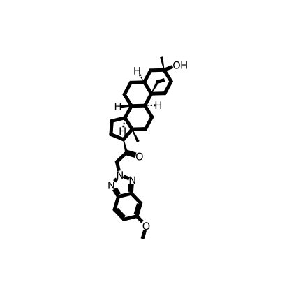 CC[C@]12CC[C@@](C)(O)C[C@@H]1CC[C@H]1[C@@H]3CC[C@H](C(=O)Cn4nc5ccc(OC)cc5n4)[C@@]3(C)CC[C@@H]12